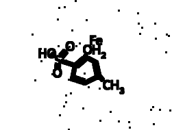 Cc1ccc(S(=O)(=O)O)cc1.O.[Fe]